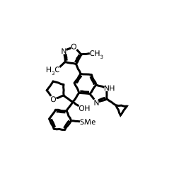 CSc1ccccc1C(O)(c1cc(-c2c(C)noc2C)cc2[nH]c(C3CC3)nc12)C1CCCO1